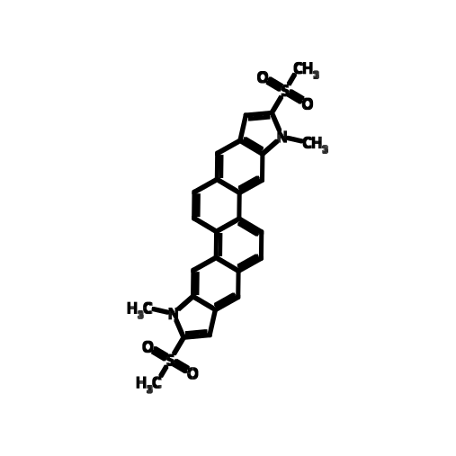 Cn1c(S(C)(=O)=O)cc2cc3ccc4c5cc6c(cc(S(C)(=O)=O)n6C)cc5ccc4c3cc21